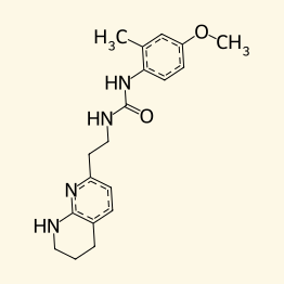 COc1ccc(NC(=O)NCCc2ccc3c(n2)NCCC3)c(C)c1